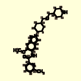 COc1cc2nn([C@H]3CC[C@H](COCC4CCNCC4)CC3)cc2cc1NC(=O)c1cccc(C)n1